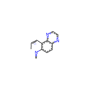 C=Nc1ccc2nccnc2c1/C=C\C